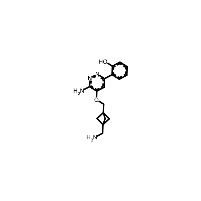 NCC12CC(COc3cc(-c4ccccc4O)nnc3N)(C1)C2